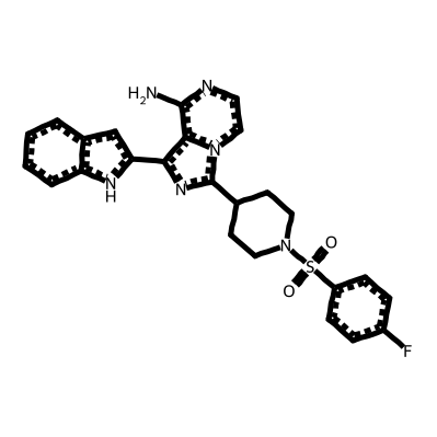 Nc1nccn2c(C3CCN(S(=O)(=O)c4ccc(F)cc4)CC3)nc(-c3cc4ccccc4[nH]3)c12